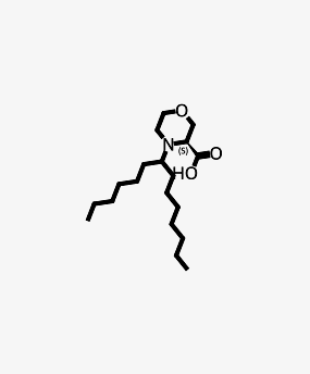 CCCCCCCC(CCCCCC)N1CCOC[C@H]1C(=O)O